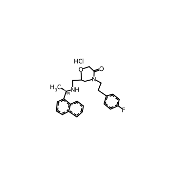 C[C@@H](NCC1CN(CCc2ccc(F)cc2)C(=O)CO1)c1cccc2ccccc12.Cl